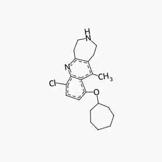 Cc1c2c(nc3c(Cl)ccc(OC4CCCCCC4)c13)CCNCC2